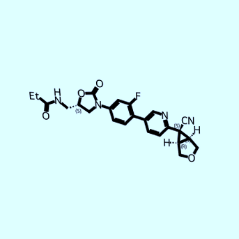 CCC(=O)NC[C@H]1CN(c2ccc(-c3ccc([C@@]4(C#N)[C@@H]5COC[C@@H]54)nc3)c(F)c2)C(=O)O1